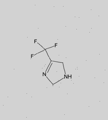 FC(F)(F)C1=N[CH]NC1